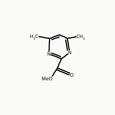 COC(=O)c1nc(C)cc(C)n1